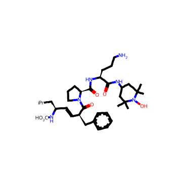 CC(C)C[C@@H](/C=C/[C@H](Cc1ccccc1)C(=O)N1CCC[C@H]1C(=O)N[C@@H](CCCN)C(=O)NC1CC(C)(C)N(O)C(C)(C)C1)NC(=O)O